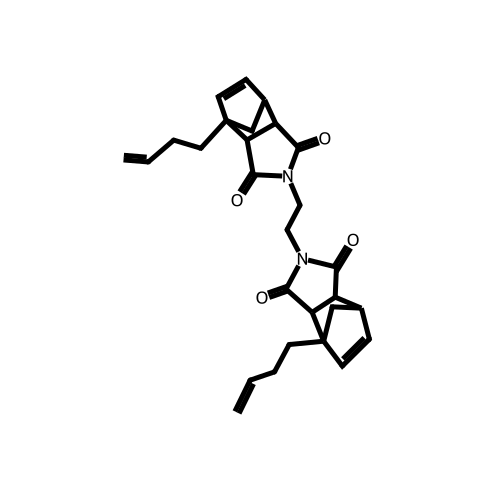 C=CCCC12C=CC(C1)C1C(=O)N(CCN3C(=O)C4C5C=CC(CCC=C)(C5)C4C3=O)C(=O)C12